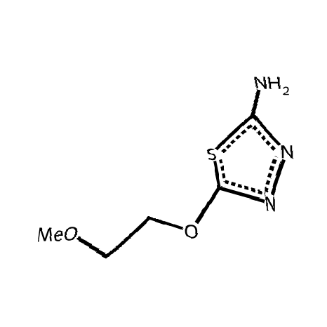 COCCOc1nnc(N)s1